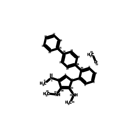 CNC1=CC(c2ccccc2-c2ccc(-c3ccccc3)cc2)C(NC)=C1NC.C[O]